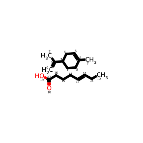 C=C(C)C1CC=C(C)CC1.CCC=CCCCC(=O)O